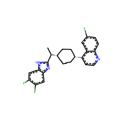 CC(c1nc2cc(F)c(F)cc2[nH]1)[C@H]1CC[C@@H](c2ccnc3ccc(F)cc32)CC1